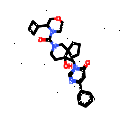 O=C(N1CCC(O)(Cn2cnc(-c3ccccc3)cc2=O)C2(CCCC2)C1)N1CCOCC1C1CCC1